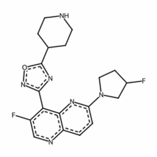 Fc1cnc2ccc(N3CCC(F)C3)nc2c1-c1noc(C2CCNCC2)n1